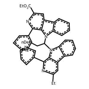 CCCCCCCCCCCC(n1c2ccccc2c2cc(CC)nc(-c3cccnc3)c21)n1c2ccccc2c2cc(C(=O)OCC)nc(-c3cccnc3)c21